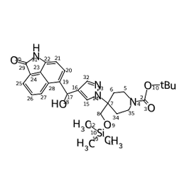 CC(C)(C)OC(=O)N1CCC(CO[Si](C)(C)C)(n2cc(C(O)c3ccc4c5c(cccc35)C(=O)N4)cn2)CC1